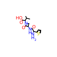 CC(C)C(C(=O)O)N1CC(NC(=O)C(N)c2cccs2)C1=O